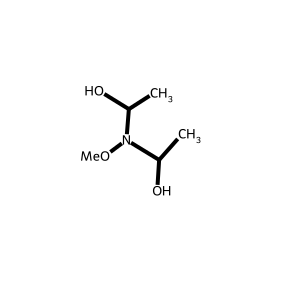 CON(C(C)O)C(C)O